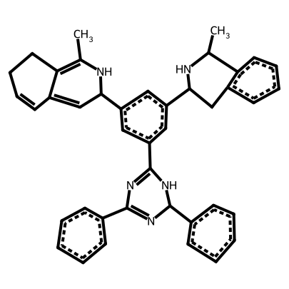 CC1=C2CCC=CC2=CC(c2cc(C3=NC(c4ccccc4)=NC(c4ccccc4)N3)cc(C3Cc4ccccc4C(C)N3)c2)N1